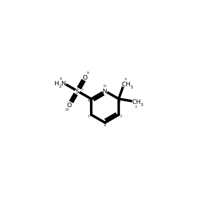 CC1(C)C=CCC(S(N)(=O)=O)=N1